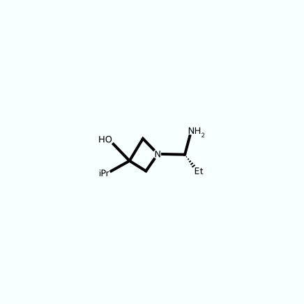 CC[C@@H](N)N1CC(O)(C(C)C)C1